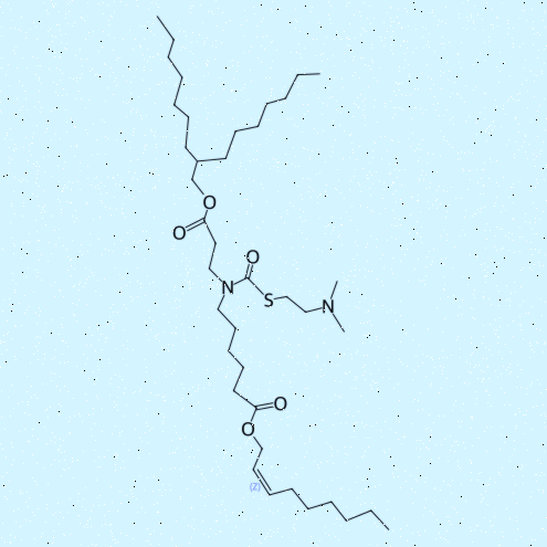 CCCCCC/C=C\COC(=O)CCCCCN(CCC(=O)OCC(CCCCCCC)CCCCCCC)C(=O)SCCN(C)C